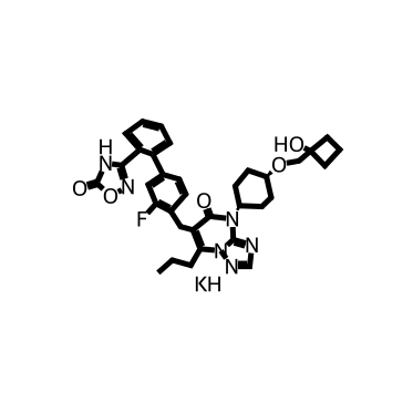 CCCc1c(Cc2ccc(-c3ccccc3-c3noc(=O)[nH]3)cc2F)c(=O)n([C@H]2CC[C@H](OCC3(O)CCC3)CC2)c2ncnn12.[KH]